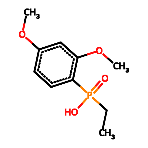 CCP(=O)(O)c1ccc(OC)cc1OC